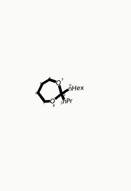 CCCCCCC1(CCC)OCCCCO1